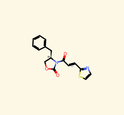 O=C(/C=C/c1nccs1)N1C(=O)OC[C@H]1Cc1ccccc1